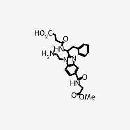 COC(=O)CNC(=O)c1ccc2c(c1)nc(C(Cc1ccccc1)NC(=O)CCC(=O)O)n2CCN